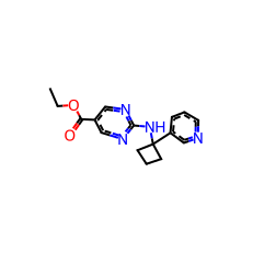 CCOC(=O)c1cnc(NC2(c3cccnc3)CCC2)nc1